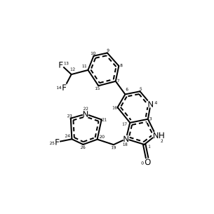 O=c1[nH]c2ncc(-c3cccc(C(F)F)c3)cc2n1Cc1cncc(F)c1